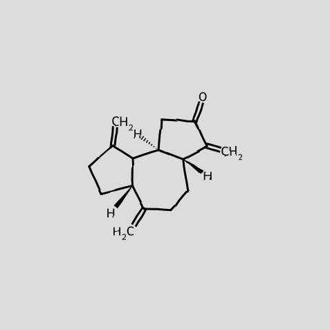 C=C1CC[C@H]2C(=C)CC[C@H]3C(=C)C(=O)C[C@@H]3C12